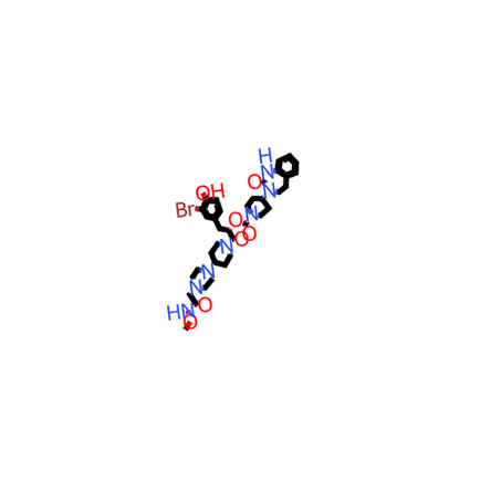 CONC(=O)CN1CCN(C2CCN(C(=O)C(Cc3ccc(O)c(Br)c3)OC(=O)N3CCC(N4CCc5ccccc5NC4=O)CC3)CC2)CC1